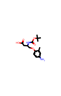 Cc1cc(N)ccc1OCC(CC(=O)O)NC(=O)OC(C)(C)C